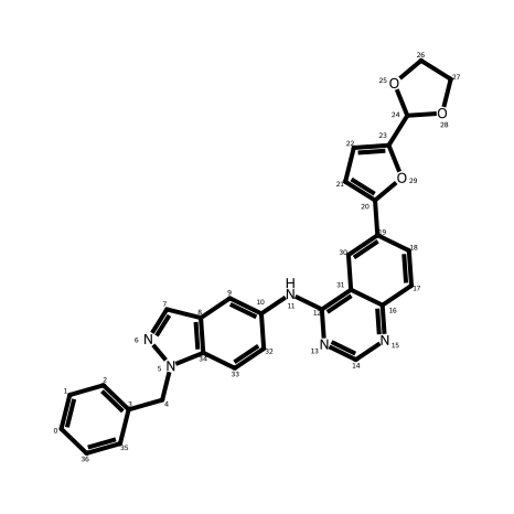 c1ccc(Cn2ncc3cc(Nc4ncnc5ccc(-c6ccc(C7OCCO7)o6)cc45)ccc32)cc1